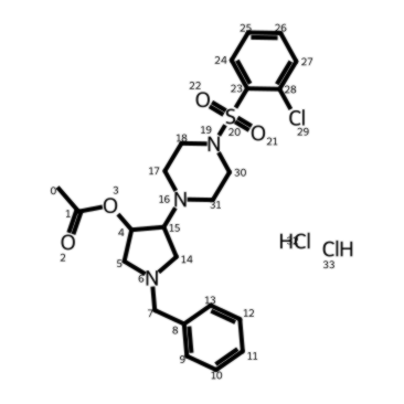 CC(=O)OC1CN(Cc2ccccc2)CC1N1CCN(S(=O)(=O)c2ccccc2Cl)CC1.Cl.Cl